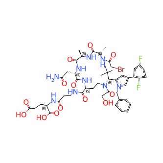 C[C@H](NC(=O)CBr)C(=O)N[C@H](C)C(=O)N[C@@H](CC(N)=O)C(=O)N[C@@H](CCN(C(=O)CO)[C@@H](c1cc(-c2cc(F)ccc2F)cn1Cc1ccccc1)C(C)(C)C)C(=O)NCCC(=O)N[C@H](CCC(=O)O)C(=O)O